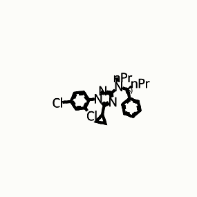 CCC[C@@H](c1ccccc1)N(CCC)c1nc(C2CC2)n(-c2ccc(Cl)cc2Cl)n1